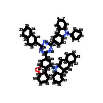 c1ccc(-n2c3ccccc3c3cc(-c4nc(-c5ccc6ccccc6c5)nc(-c5cc(-n6c7ccccc7c7cc8ccccc8cc76)c6c(c5)oc5ccccc56)n4)ccc32)cc1